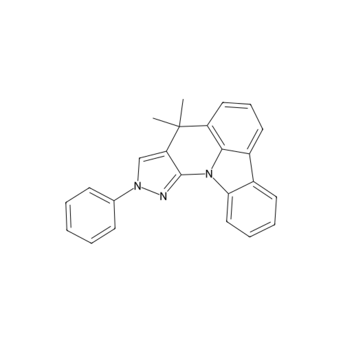 CC1(C)c2cn(-c3ccccc3)nc2-n2c3ccccc3c3cccc1c32